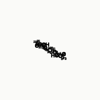 C=C(C)C(=O)OCC(O)COCC1CCC(COCC(O)COC(=O)C(=C)C)CC1